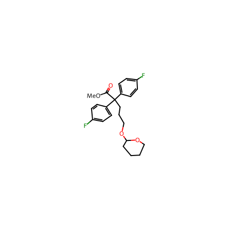 COC(=O)C(CCCOC1CCCCO1)(c1ccc(F)cc1)c1ccc(F)cc1